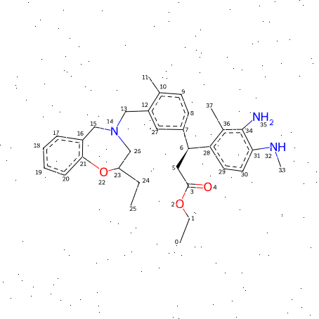 CCOC(=O)C[C@@H](c1ccc(C)c(CN2Cc3ccccc3OC(CC)C2)c1)c1ccc(NC)c(N)c1C